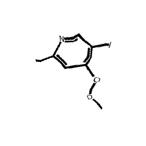 COOc1cc(C)ncc1I